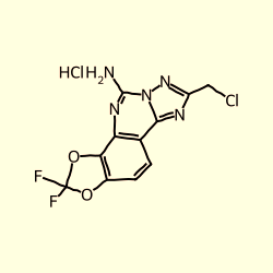 Cl.Nc1nc2c3c(ccc2c2nc(CCl)nn12)OC(F)(F)O3